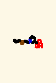 C=CCSCCN1CCCC(C(=O)O)C1